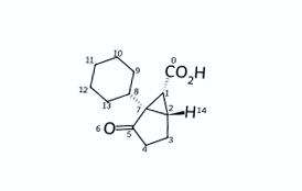 O=C(O)[C@@H]1[C@@H]2CCC(=O)[C@@]12C1CCCCC1